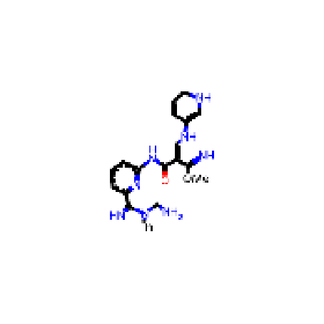 COC(=N)/C(=C\NC1=CNCC=C1)C(=O)Nc1cccc(C(=N)N(CN)C(C)C)n1